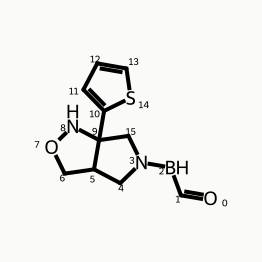 O=CBN1CC2CONC2(c2cccs2)C1